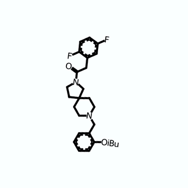 CC(C)COc1ccccc1CN1CCC2(CC1)CCN(C(=O)Cc1cc(F)ccc1F)C2